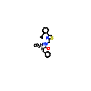 O=C(O)C[C@@H](Cc1ccccc1)C(=O)NCc1nc(-c2ccccc2C2CC2)cs1